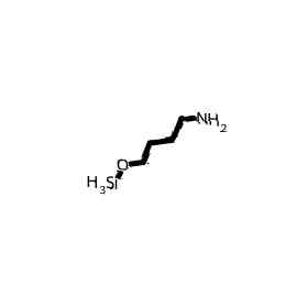 NCCC[CH]O[SiH3]